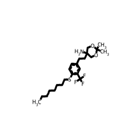 CCCCCCCCSc1ccc(CCC2(N)COC(C)(C)OC2)cc1C(F)(F)F